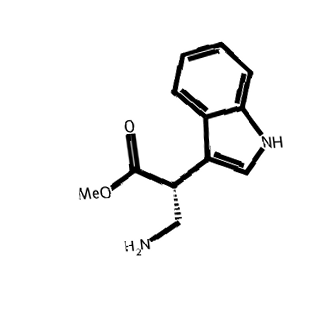 COC(=O)[C@@H](CN)c1c[nH]c2ccccc12